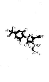 CC[S+]([O-])c1c(C#N)nn(-c2c(Cl)cc(C(F)(F)F)cc2Cl)c1C